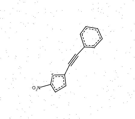 O=[N+]([O-])c1ccc(C#Cc2[c]cccc2)s1